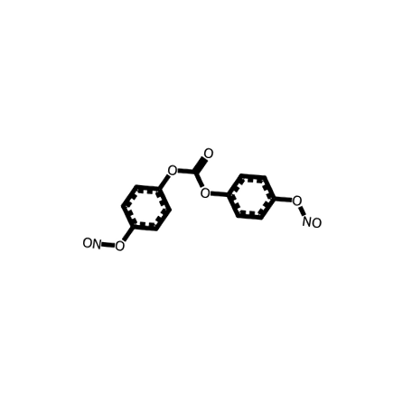 O=NOc1ccc(OC(=O)Oc2ccc(ON=O)cc2)cc1